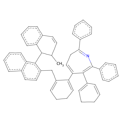 CC1C=Cc2ccccc2C1c1c(CC2=CCCC=C2C2=CCC(c3ccccc3)=NC(c3ccccc3)=C2C2=CCCC=C2)ccc2ccccc12